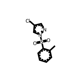 Cc1ccccc1S(=O)(=O)n1cc(Cl)cn1